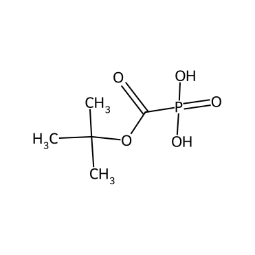 CC(C)(C)OC(=O)P(=O)(O)O